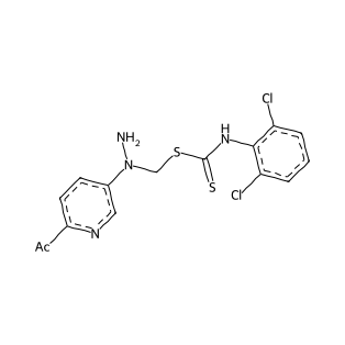 CC(=O)c1ccc(N(N)CSC(=S)Nc2c(Cl)cccc2Cl)cn1